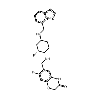 O=C1COc2cc(F)c(CN[C@H]3CC[C@H](NCc4cccc5ccnn45)C[C@H]3F)cc2N1